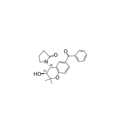 CC1(C)Oc2ccc(C(=O)c3ccccc3)cc2[C@@H](N2CCCC2=O)[C@@H]1O